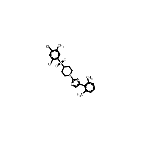 Cc1cc(S(=O)(=O)C2CCN(c3nc(-c4c(C)cccc4C)cs3)CC2)c(Cl)cc1Cl